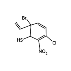 C=CC1(Br)C=CC(Cl)=C([N+](=O)[O-])C1S